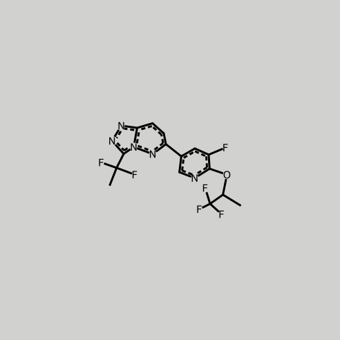 CC(Oc1ncc(-c2ccc3nnc(C(C)(F)F)n3n2)cc1F)C(F)(F)F